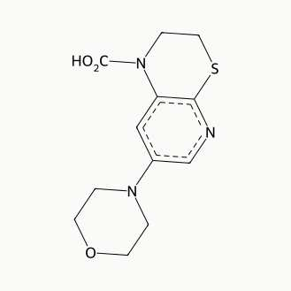 O=C(O)N1CCSc2ncc(N3CCOCC3)cc21